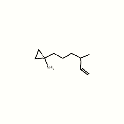 C=CC(C)CCCC1(N)CC1